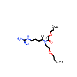 COCCOCCN(C(=O)COCCOC)[C@@H](CCCNC(=N)N)C(=O)O